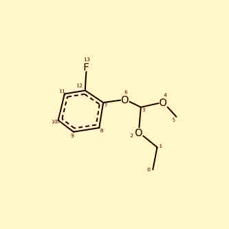 CCOC(OC)Oc1cc[c]cc1F